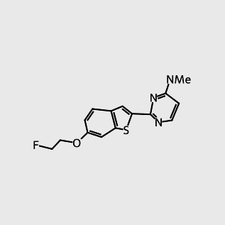 CNc1ccnc(-c2cc3ccc(OCCF)cc3s2)n1